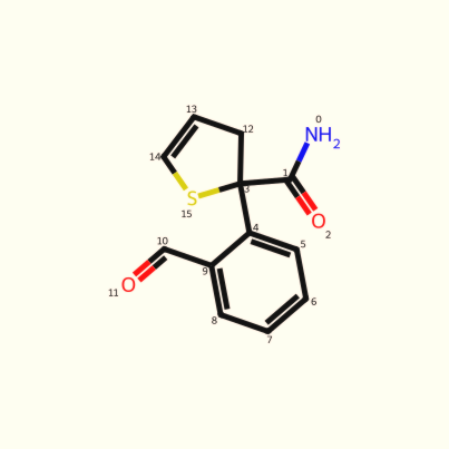 NC(=O)C1(c2ccccc2C=O)CC=CS1